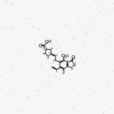 C=Cc1c(C)c2c(c(O)c1CC=C1CCC(C(=O)O)C1)C(=O)OC2